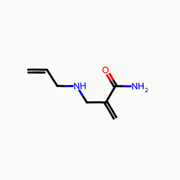 C=CCNCC(=C)C(N)=O